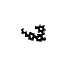 CSCOc1ncc(-c2ccc(=O)n(Cc3cccc(F)c3)n2)cn1